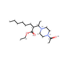 CCCCCCC(C(=O)OCC)C(C)N1CCN(C(C)=O)CC1